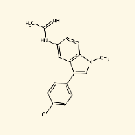 CC(=N)Nc1ccc2c(c1)c(-c1ccc(Cl)cc1)cn2C